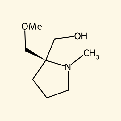 COC[C@]1(CO)CCCN1C